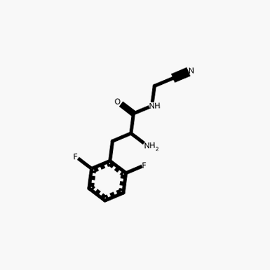 N#CCNC(=O)C(N)Cc1c(F)cccc1F